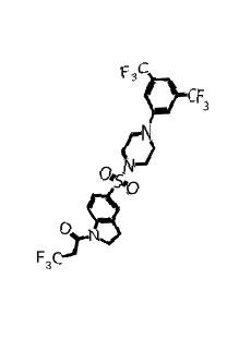 O=C(CC(F)(F)F)N1CCc2cc(S(=O)(=O)N3CCN(c4cc(C(F)(F)F)cc(C(F)(F)F)c4)CC3)ccc21